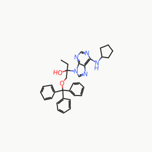 CCC(O)(COC(c1ccccc1)(c1ccccc1)c1ccccc1)n1cnc2c(NC3CCCC3)ncnc21